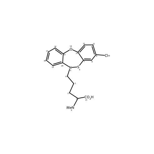 CNC(CCCn1sc2cc(Cl)ccc2oc2ccccc21)C(=O)O